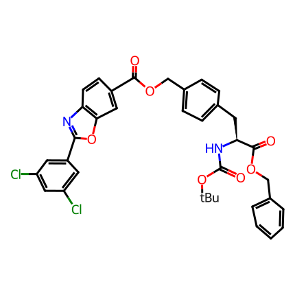 CC(C)(C)OC(=O)N[C@@H](Cc1ccc(COC(=O)c2ccc3nc(-c4cc(Cl)cc(Cl)c4)oc3c2)cc1)C(=O)OCc1ccccc1